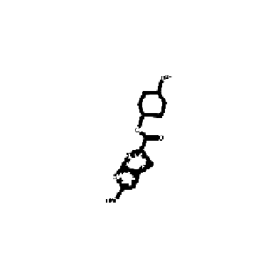 CCCc1cc2cc(C(=O)OC3CCC(CCC)CC3)sc2s1